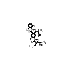 CCn1c(C(C)O)nn(-c2cc3c(C(C)C4CC4)nn(-c4c(F)cccc4Cl)c(=O)c3cc2F)c1=O